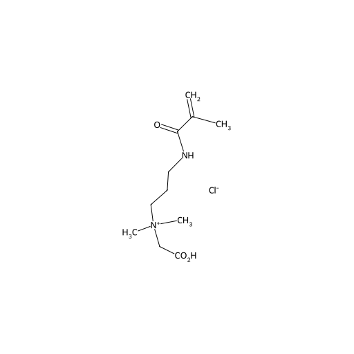 C=C(C)C(=O)NCCC[N+](C)(C)CC(=O)O.[Cl-]